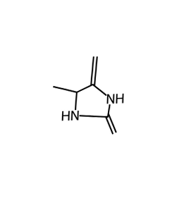 C=C1NC(=C)C(C)N1